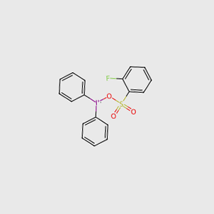 O=S(=O)(O[I+](c1ccccc1)c1ccccc1)c1ccccc1F